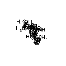 CC(=O)Oc1ccc(C(=O)NNC(=O)C(C)(C)ON=C(C(=O)NC2C(=O)N3C(C(=O)O)=C(C(=S)c4cc(C)nc5nc(C(F)(F)F)nn45)CS[C@@H]23)c2csc(N)n2)cc1OC(C)=O